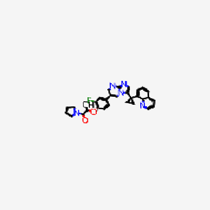 CC(Oc1ccc(-c2cnc3ncc(C4(c5cccc6cccnc56)CC4)n3c2)cc1F)C(=O)N1CCCC1